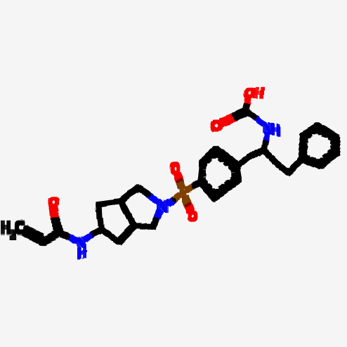 C=CC(=O)NC1CC2CN(S(=O)(=O)c3ccc(C(Cc4ccccc4)NC(=O)O)cc3)CC2C1